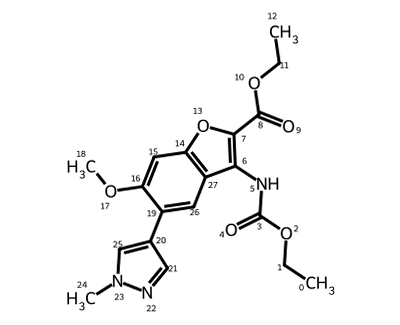 CCOC(=O)Nc1c(C(=O)OCC)oc2cc(OC)c(-c3cnn(C)c3)cc12